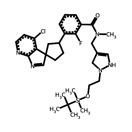 CN(CC1=CNN(CCO[Si](C)(C)C(C)(C)C)C1)C(=O)c1cccc(C2CCC3(C=Nc4nccc(Cl)c43)C2)c1F